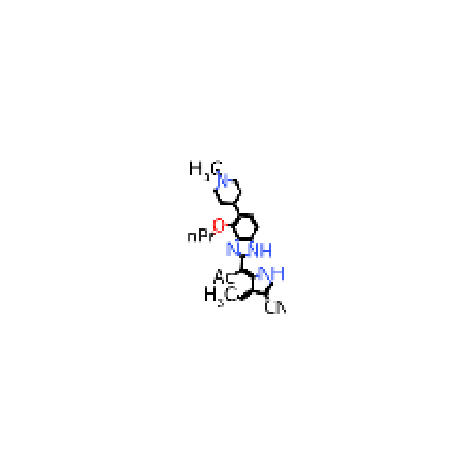 C/C=c1/c(C#N)c[nH]/c1=C(/C(C)=O)c1nc2c(OCCC)c(C3CCN(C)CC3)ccc2[nH]1